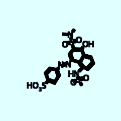 CN(C)S(=O)(=O)c1cc(N=Nc2ccc(S(=O)(=O)O)cc2)c2c(NS(C)(=O)=O)cccc2c1O